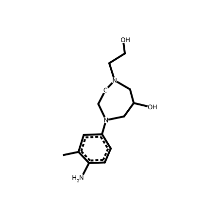 Cc1cc(N2CCN(CCO)CC(O)C2)ccc1N